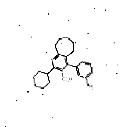 Cc1cc(-c2c3c(nc(C4CCCCC4)c2C(=O)O)CCCCC3)ccn1